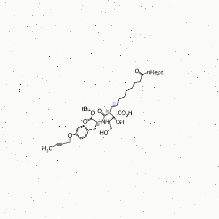 CC#CCOc1ccc(C[C@H](NC(=O)[C@@H](/C=C/CCCCCCC(=O)CCCCCCC)[C@@](O)(CCO)C(=O)O)C(=O)OC(C)(C)C)cc1